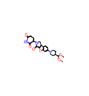 COC(OC)C1CCN(c2ccc3c4c(oc3c2)C(=O)N(C2CCC(=O)NC2=O)C4)CC1